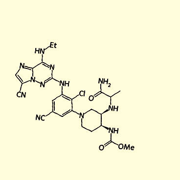 CCNc1nc(Nc2cc(C#N)cc(N3CC[C@H](NC(=O)OC)[C@H](NC(C)C(N)=O)C3)c2Cl)nn2c(C#N)cnc12